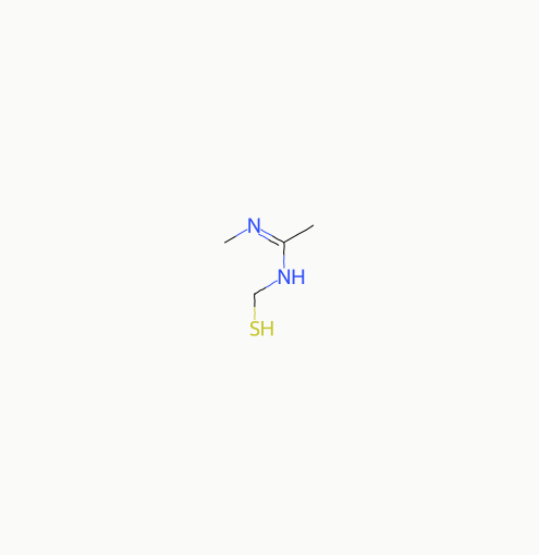 C/N=C(/C)NCS